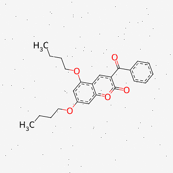 CCCCOc1cc(OCCCC)c2cc(C(=O)c3ccccc3)c(=O)oc2c1